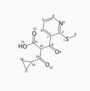 CSc1ncccc1C(=O)C(C(=O)O)C(=O)C1CC1